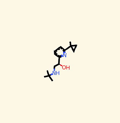 CC(C)(C)NC[C@H](O)c1cccc(C2(C)CC2)n1